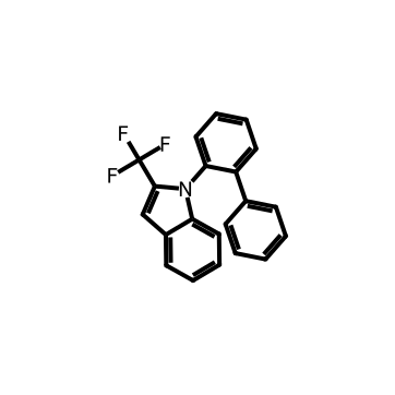 FC(F)(F)c1cc2ccccc2n1-c1ccccc1-c1ccccc1